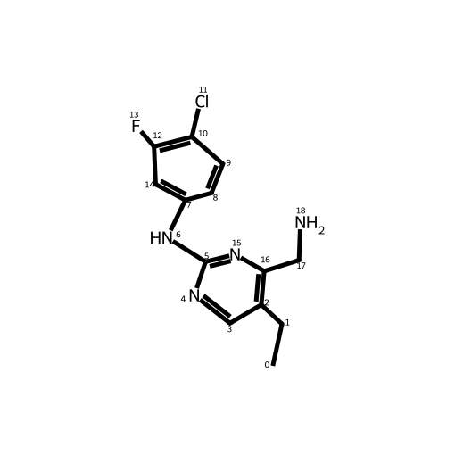 CCc1cnc(Nc2ccc(Cl)c(F)c2)nc1CN